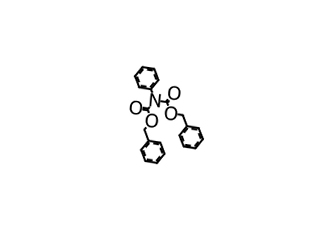 O=C(OCc1ccccc1)N(C(=O)OCc1ccccc1)c1ccccc1